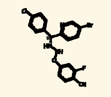 N#Cc1ccc(ONN[C@H](c2ccc(Cl)cc2)c2ccc(Br)cn2)cc1F